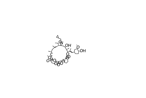 CC[C@@H]1/C=C(\C)C[C@H](C)C[C@H](OC)[C@H]2O[C@@](O)(C(=O)C(=O)N3CCCC[C@H]3C(=O)O[C@H](/C(C)=C/[C@@H]3CC[C@@H](O)[C@H](OC)C3)[C@H](C)[C@@H](O)C/C1=N/OCC1CC1)[C@H](C)C[C@@H]2OC